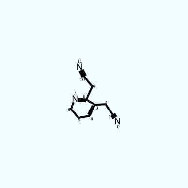 N#CCC1=CCCN=C1CC#N